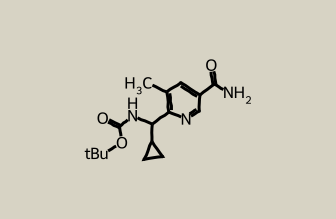 Cc1cc(C(N)=O)cnc1C(NC(=O)OC(C)(C)C)C1CC1